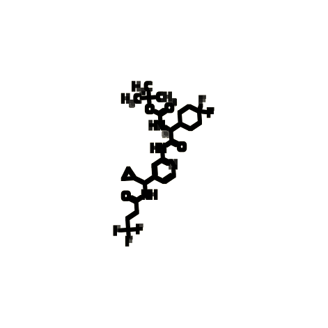 CC(C)(C)OC(=O)N[C@H](C(=O)Nc1cc(C(NC(=O)CCC(F)(F)F)C2CC2)ccn1)C1CCC(F)(F)CC1